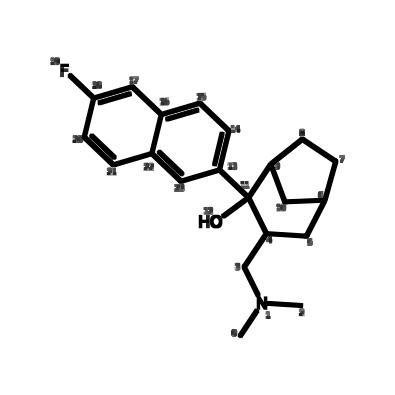 CN(C)CC1CC2CCC(C2)C1(O)c1ccc2cc(F)ccc2c1